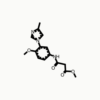 COC(=O)CC(=O)Nc1ccc(OC)c(-n2cnc(C)c2)c1